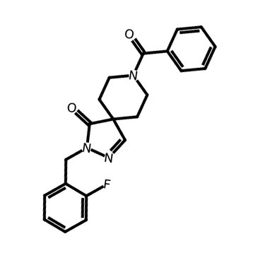 O=C(c1ccccc1)N1CCC2(C=NN(Cc3ccccc3F)C2=O)CC1